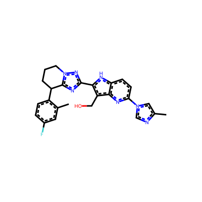 Cc1cn(-c2ccc3[nH]c(-c4nc5n(n4)CCCC5c4ccc(F)cc4C)c(CO)c3n2)cn1